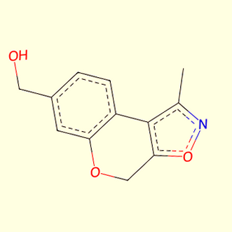 Cc1noc2c1-c1ccc(CO)cc1OC2